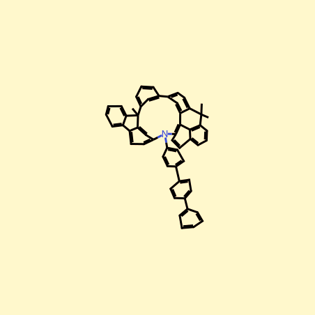 CC1(C)c2ccc3cc2-c2c(ccc4cccc1c24)N(c1ccc(-c2ccc(-c4ccccc4)cc2)cc1)c1ccc2c(c1)C(C)(c1cccc-3c1)c1ccccc1-2